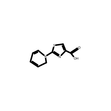 O=C(O)c1csc(N2C=CC=CC2)n1